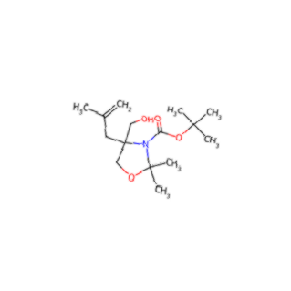 C=C(C)CC1(CO)COC(C)(C)N1C(=O)OC(C)(C)C